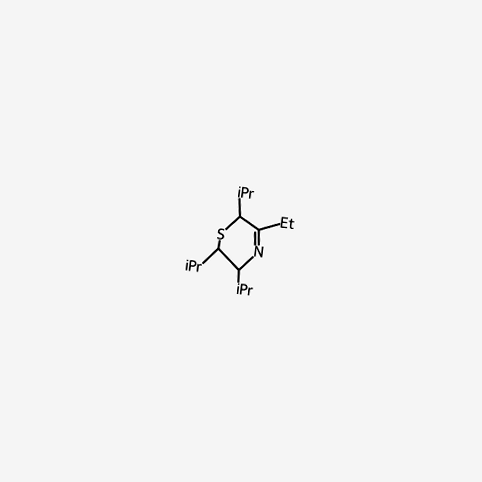 CCC1=NC(C(C)C)C(C(C)C)SC1C(C)C